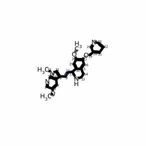 COc1cnc2c(c1)c(/C=C/C1NCCc3cc(OCc4cccnc4)c(OC)cc31)cn2C